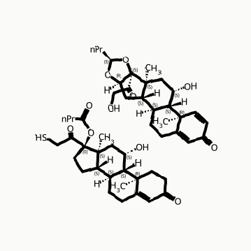 CCCC(=O)O[C@]1(C(=O)CS)CC[C@H]2[C@@H]3CCC4=CC(=O)CC[C@]4(C)[C@H]3[C@@H](O)C[C@@]21C.CCC[C@@H]1O[C@@H]2C[C@H]3[C@@H]4CCC5=CC(=O)C=C[C@]5(C)[C@H]4[C@@H](O)C[C@]3(C)[C@]2(C(=O)CO)O1